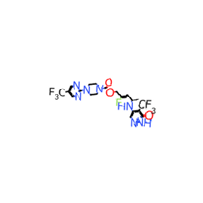 C[C@H](/C=C(\F)COC(=O)N1CCN(c2ncc(C(F)(F)F)cn2)CC1)Nc1cn[nH]c(=O)c1C(F)(F)F